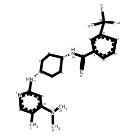 Cc1cnc(N[C@H]2CC[C@@H](NC(=O)c3cccc(C(F)(F)F)c3)CC2)cc1N(C)C